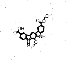 CCOC(=O)c1ccc2[nH]c3c(OC)c4[nH]c5ccc(C(=O)O)cc5c4cc3c2c1